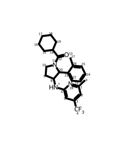 Cc1cc(C(F)(F)F)cc(NC2CCN(C(=O)C3CCCCC3)C2c2ccccc2C)n1